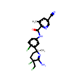 Cc1cc(C#N)cnc1C(=O)Nc1ccc(F)c([C@]2(C)CC[C@@](F)(CF)C(N)=N2)c1